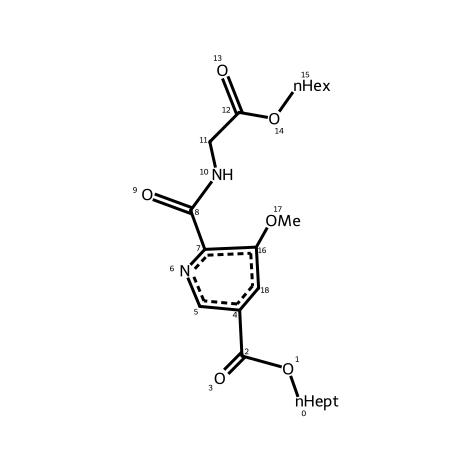 CCCCCCCOC(=O)c1cnc(C(=O)NCC(=O)OCCCCCC)c(OC)c1